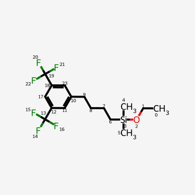 CCO[Si](C)(C)CCCCc1cc(C(F)(F)F)cc(C(F)(F)F)c1